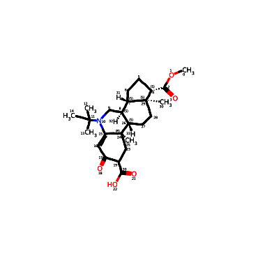 COC(=O)[C@H]1CC[C@H]2[C@@H]3CN(C(C)(C)C)C4=CC(=O)C(C(=O)O)C[C@]4(C)[C@H]3CC[C@]12C